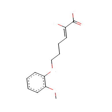 COc1ccccc1OCCCC=C(O)C(=O)O